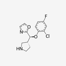 Fc1ccc(O[C@H](c2ncco2)[C@@H]2CCNC2)c(Cl)c1